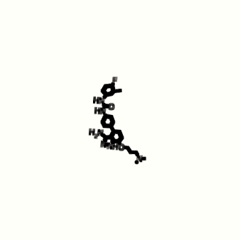 Cc1cc(NC(=O)Nc2ccc(-c3ccc(OCCCN(C)C)c4[nH]nc(N)c34)cc2)ccc1F